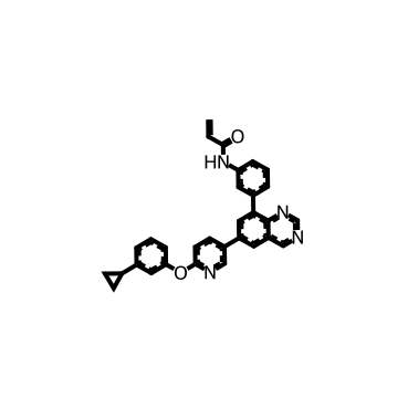 C=CC(=O)Nc1cccc(-c2cc(-c3ccc(Oc4cccc(C5CC5)c4)nc3)cc3cncnc23)c1